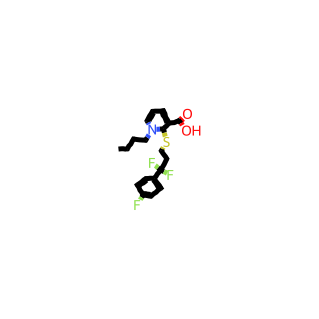 CCCCN1C=CC=C(C(=O)O)C1SCCC(F)(F)c1ccc(F)cc1